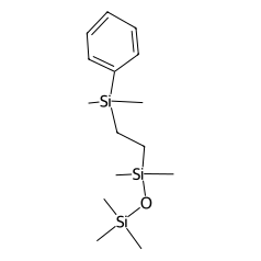 C[Si](C)(C)O[Si](C)(C)CC[Si](C)(C)c1ccccc1